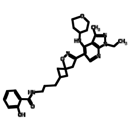 CCn1nc(C)c2c(NC3CCOCC3)c(C3=NOC4(C3)CC(CCCNC(=O)c3ccccc3O)C4)cnc21